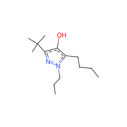 CCCCc1c(O)c(C(C)(C)C)nn1CCC